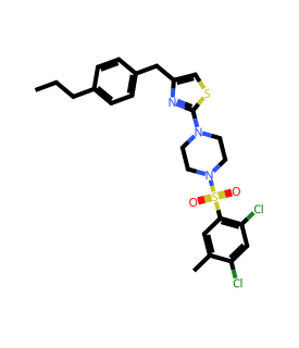 CCCc1ccc(Cc2csc(N3CCN(S(=O)(=O)c4cc(C)c(Cl)cc4Cl)CC3)n2)cc1